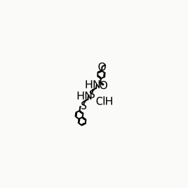 COc1ccc(C(=O)NCCSNCCSCc2ccc3ccccc3c2)cc1.Cl